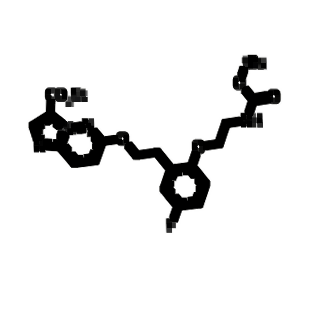 CCOC(=O)c1cnc2ccc(OCCc3cc(F)ccc3OCCNC(=O)OC(C)(C)C)nn12